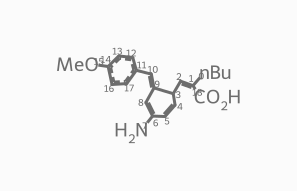 CCCCC(=CC1C=CC(N)=CC1=Cc1ccc(OC)cc1)C(=O)O